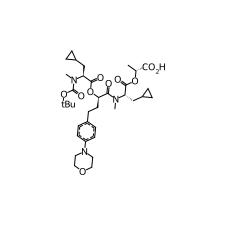 C[C@@H](OC(=O)[C@H](CC1CC1)N(C)C(=O)[C@@H](CCc1ccc(N2CCOCC2)cc1)OC(=O)[C@H](CC1CC1)N(C)C(=O)OC(C)(C)C)C(=O)O